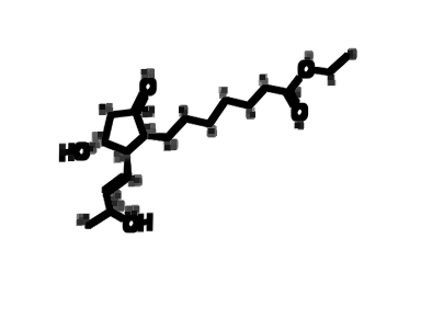 CCOC(=O)CCCCCC[C@@H]1C(=O)C[C@@H](O)[C@@H]1/C=C/C(C)O